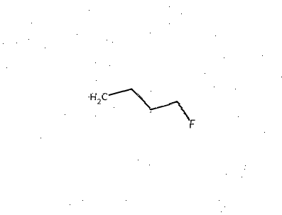 [CH2]C[CH]CF